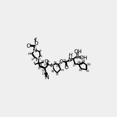 COC(=O)N1CCN(C(C)(C)C=C(C#N)C(=O)N2CCC[C@H](OC(=O)NC(CC3=CCCC3)B(O)O)C2)CC1